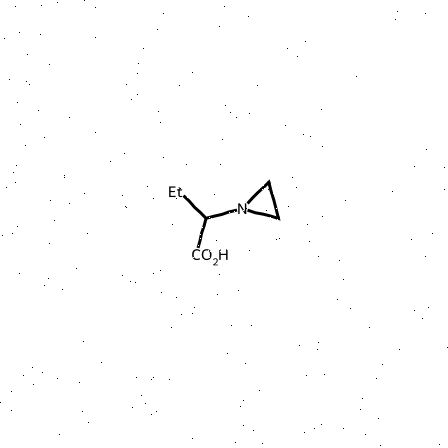 CCC(C(=O)O)N1CC1